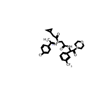 C/C(=N\N(CC(=O)NC(C(=O)N1CCOCC1)c1cccc(C(F)(F)F)c1)C(=O)CC1CC1)c1ccc(Cl)cc1